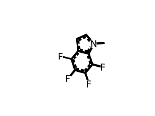 Cn1ccc2c(F)c(F)c(F)c(F)c21